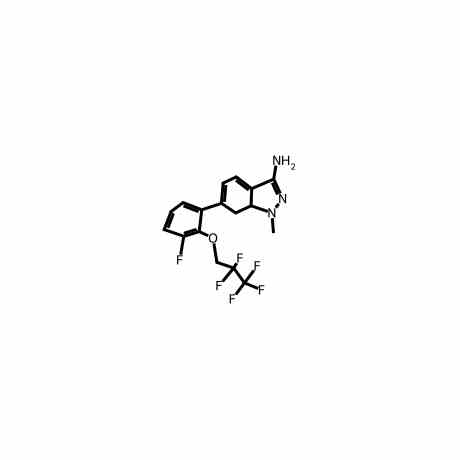 CN1N=C(N)C2=CC=C(c3cccc(F)c3OCC(F)(F)C(F)(F)F)CC21